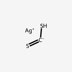 S=[C-]S.[Ag+]